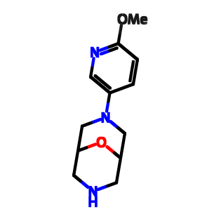 COc1ccc(N2CC3CNCC(C2)O3)cn1